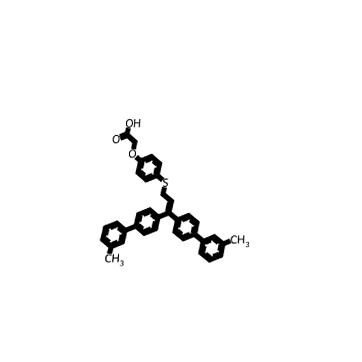 Cc1cccc(-c2ccc(C(=CCSc3ccc(OCC(=O)O)cc3)c3ccc(-c4cccc(C)c4)cc3)cc2)c1